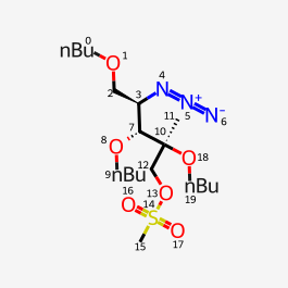 CCCCOC[C@@H](N=[N+]=[N-])[C@@H](OCCCC)[C@](C)(COS(C)(=O)=O)OCCCC